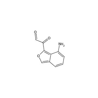 Nc1cccc2coc(C(=O)C=O)c12